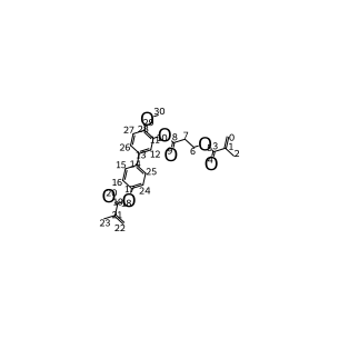 C=C(C)C(=O)OCCC(=O)Oc1cc(-c2ccc(OC(=O)C(=C)C)cc2)ccc1OC